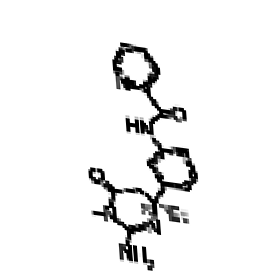 CC[C@@]1(c2cccc(NC(=O)c3ccccn3)c2)CC(=O)N(C)C(N)=N1